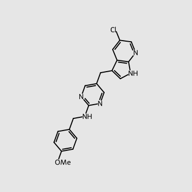 COc1ccc(CNc2ncc(Cc3c[nH]c4ncc(Cl)cc34)cn2)cc1